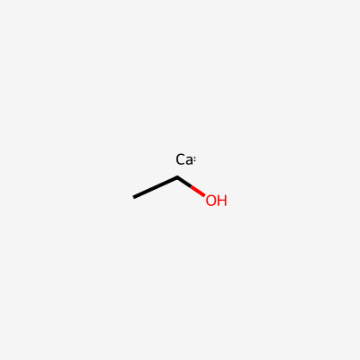 CCO.[Ca]